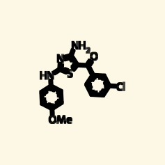 COc1ccc(Nc2nc(N)c(C(=O)c3cccc(Cl)c3)s2)cc1